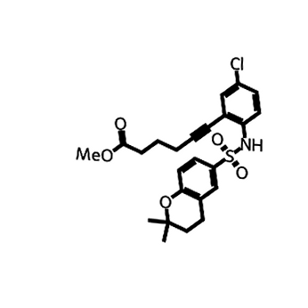 COC(=O)CCCC#Cc1cc(Cl)ccc1NS(=O)(=O)c1ccc2c(c1)CCC(C)(C)O2